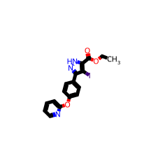 CCOC(=O)c1[nH]nc(-c2ccc(Oc3ccccn3)cc2)c1I